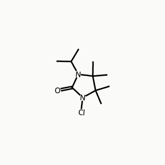 CC(C)N1C(=O)N(Cl)C(C)(C)C1(C)C